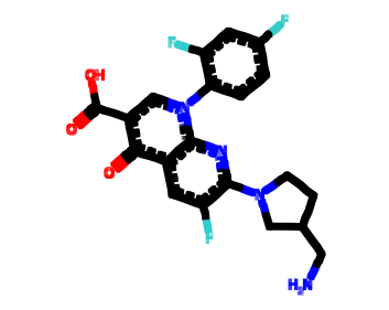 NCC1CCN(c2nc3c(cc2F)c(=O)c(C(=O)O)cn3-c2ccc(F)cc2F)C1